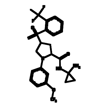 C=S(=O)(c1ccccc1C(C)(F)F)C1CC(C(=O)NC2(N)CC2)N(c2cccc(OC(F)(F)F)c2)C1